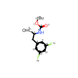 CC(C)(C)OC(=O)NC(C=O)Cc1cc(F)cc(F)c1